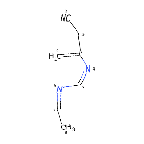 C=C(CC#N)/N=C\N=C/C